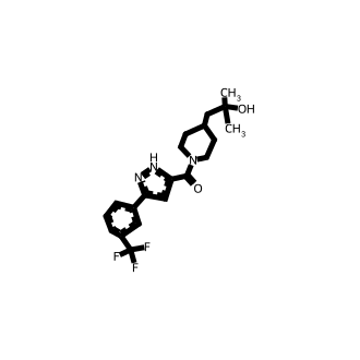 CC(C)(O)CC1CCN(C(=O)c2cc(-c3cccc(C(F)(F)F)c3)n[nH]2)CC1